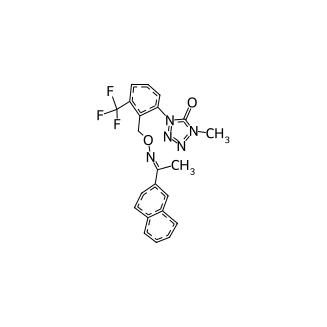 CC(=NOCc1c(-n2nnn(C)c2=O)cccc1C(F)(F)F)c1ccc2ccccc2c1